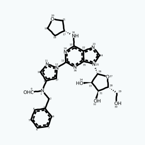 O=CN(Cc1ccccc1)c1cnn(-c2nc(N[C@@H]3CCOC3)c3ncn([C@@H]4O[C@H](CO)[C@@H](O)[C@H]4O)c3n2)c1